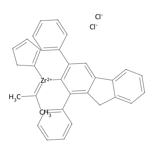 C[C](C)=[Zr+2]([C]1=CC=CC1)[c]1c(-c2ccccc2)cc2c(c1-c1ccccc1)Cc1ccccc1-2.[Cl-].[Cl-]